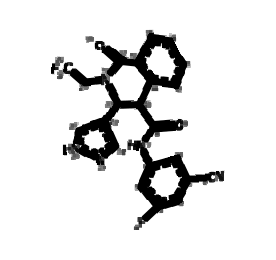 N#Cc1cc(F)cc(NC(=O)C2c3ccccc3C(=O)N(CC(F)(F)F)C2c2cn[nH]c2)c1